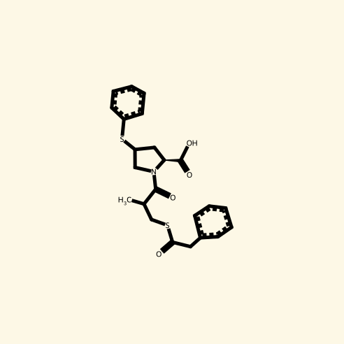 CC(CSC(=O)Cc1ccccc1)C(=O)N1CC(Sc2ccccc2)C[C@H]1C(=O)O